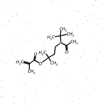 C=C(C)C(=O)OC(C)(C)CCN(C(C)=O)C(C)(C)C